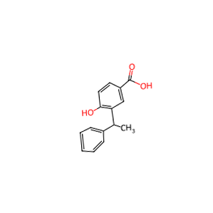 CC(c1ccccc1)c1cc(C(=O)O)ccc1O